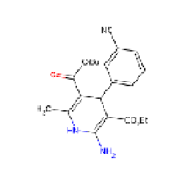 CCOC(=O)C1=C(N)NC(C)=C(C(=O)OCC(C)C)C1c1cccc(C#N)c1